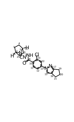 N#CN1[C@H]2CC[C@@H]1[C@H](NC(=O)c1ccc(-n3cc4c(n3)CCC4)cc1Cl)C2